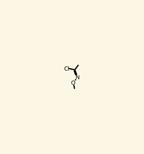 CON=C(C)Cl